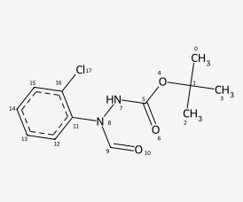 CC(C)(C)OC(=O)NN(C=O)c1ccccc1Cl